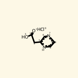 Cl.O=C(O)Cc1cnccn1